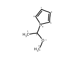 COC(C)n1[c]ccc1